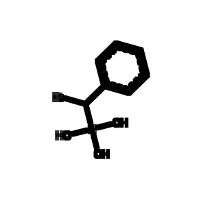 CCC(c1ccccc1)[Si](O)(O)O